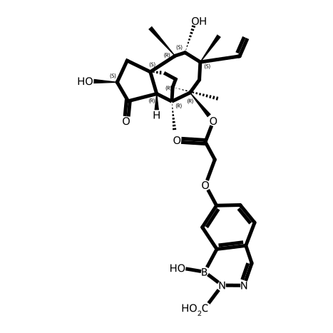 C=C[C@]1(C)C[C@@H](OC(=O)COc2ccc3c(c2)B(O)N(C(=O)O)N=C3)[C@]2(C)[C@H](C)CC[C@]3(C[C@H](O)C(=O)[C@H]32)[C@@H](C)[C@@H]1O